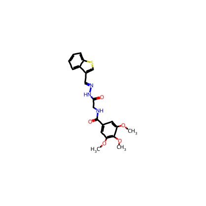 COc1cc(C(=O)NCC(=O)N/N=C/c2csc3ccccc23)cc(OC)c1OC